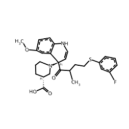 COc1ccc2c(c1)[C@](C(=O)C(C)CCSc1cccc(F)c1)(N1CCC[C@@H](C(=O)O)C1)C=CN2